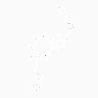 CC[C@H]1OC(=O)[C@H](C)C(=O)[C@H](C)[C@@H](O[C@@H]2C[C@H](C)C[C@H](N(C)CCc3cn(CCN4CCNCC4)nn3)[C@H]2O)[C@](C)(OC)C[C@@H](C)C(=O)[C@H](C)[C@H]2N(CCCCn3cnc(-c4cccnc4)c3)C(=O)O[C@]12C